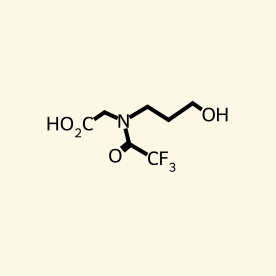 O=C(O)CN(CCCO)C(=O)C(F)(F)F